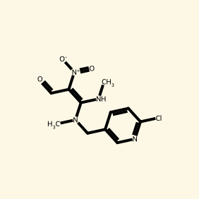 CN/C(=C(/C=O)[N+](=O)[O-])N(C)Cc1ccc(Cl)nc1